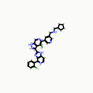 Fc1ccccc1-c1nccc2[nH]c(-c3n[nH]c4cnc(-c5cncc(CNCC6CCCC6)c5)c(F)c34)nc12